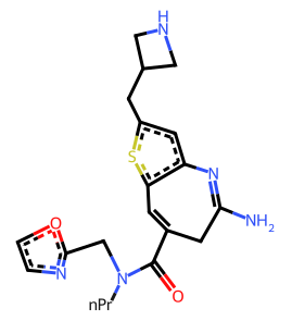 CCCN(Cc1ncco1)C(=O)C1=Cc2sc(CC3CNC3)cc2N=C(N)C1